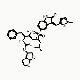 Cc1ccc(/C=C2\C(=O)Nc3ccc(S(=O)(=O)N(CC(C)C)CC(O)C(Cc4ccccc4)NC(=O)OC4COC5OCCC45)cc32)s1